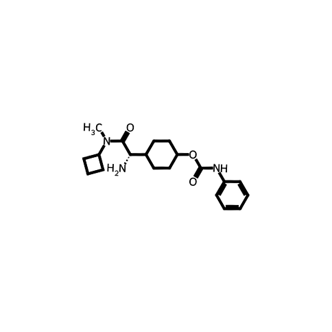 CN(C(=O)[C@@H](N)C1CCC(OC(=O)Nc2ccccc2)CC1)C1CCC1